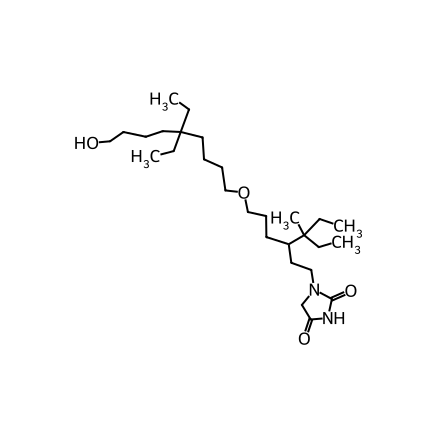 CCC(CC)(CCCCO)CCCCOCCCC(CCN1CC(=O)NC1=O)C(C)(CC)CC